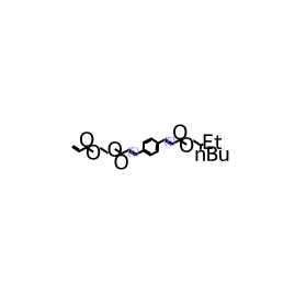 C=CC(=O)OCCOC(=O)/C=C/c1ccc(/C=C/C(=O)OCC(CC)CCCC)cc1